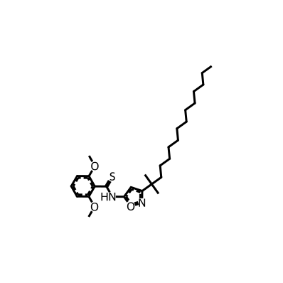 CCCCCCCCCCCCCC(C)(C)c1cc(NC(=S)c2c(OC)cccc2OC)on1